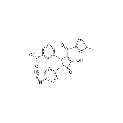 Cc1ccc(C(=O)C2=C(O)C(=O)N(c3ncc4nc[nH]c4n3)C2c2cccc([N+](=O)[O-])c2)o1